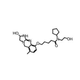 Cc1ccc(OCCCCC(=O)N(CCO)C2CCCC2)c2c1CN1CC(O)NC1=N2